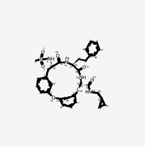 CS(=O)(=O)N[C@H]1Cc2cccc(c2)Oc2cccc(c2)C[C@@H](C(=O)NCC2CC2)NC(=O)[C@H](CCc2ccccc2)NC1=O